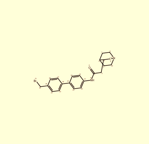 O=C(CC1CN2CCC1CC2)Nc1ccc(-c2ccc(CBr)cc2)cc1